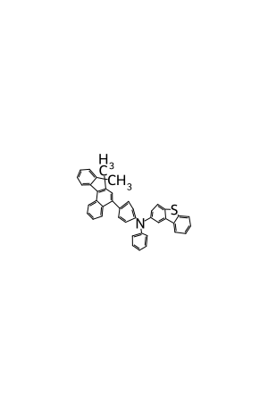 CC1(C)c2ccccc2-c2c1cc(-c1ccc(N(c3ccccc3)c3ccc4sc5ccccc5c4c3)cc1)c1ccccc21